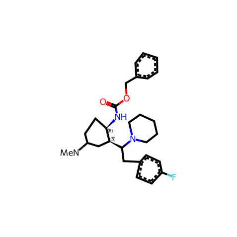 CNC1CC[C@@H](NC(=O)OCc2ccccc2)[C@@H](C(Cc2ccc(F)cc2)N2CCCCC2)C1